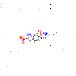 NC(=O)C1(O)C=CC(C[C@@H](N)C(=O)O)=CC1